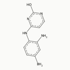 Bc1ccc(Nc2ccnc(O)n2)c(N)c1